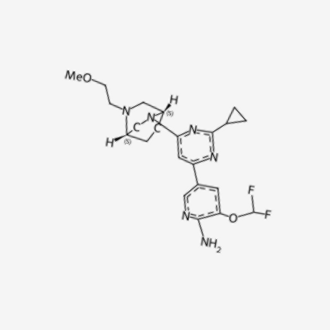 COCCN1C[C@@H]2CC[C@H]1CN2c1cc(-c2cnc(N)c(OC(F)F)c2)nc(C2CC2)n1